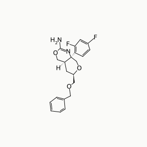 NC1=N[C@@]2(c3ccc(F)cc3F)CO[C@@H](COCc3ccccc3)C[C@H]2CO1